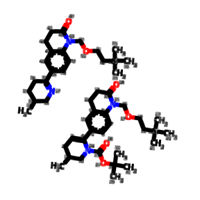 CC1CC=C(c2ccc3c(c2)CCC(=O)N3COCC[Si](C)(C)C)N(C(=O)OC(C)(C)C)C1.CC1CCC(c2ccc3c(c2)CCC(=O)N3COCC[Si](C)(C)C)=NC1